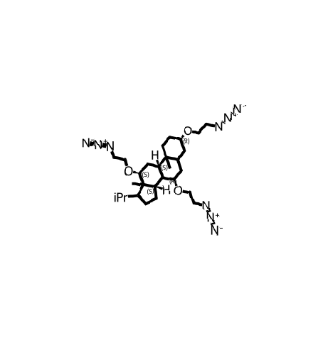 CC(C)C1CC[C@H]2C3[C@H](OCCN=[N+]=[N-])CC4C[C@H](OCCN=[N+]=[N-])CCC4(C)[C@H]3C[C@H](OCCN=[N+]=[N-])C12C